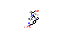 CCC(CCO)Cn1nc(C)c(CCN2CCC[C@H]2c2ccc(C=CC(=O)NO)cc2)c1C